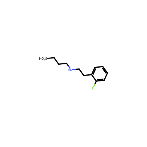 O=S(=O)(O)CCCNCCc1ccccc1F